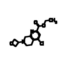 CCOC(=O)c1cc(Cl)c2c(n1)CN(C1COC1)CC2